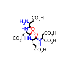 N[C@@H](CC(=O)O)C(=O)N[C@@H](CC(=O)O)C(=O)N[C@@H](CCC(=O)O)C(=O)N[C@@H](CC(=O)O)C(=O)O